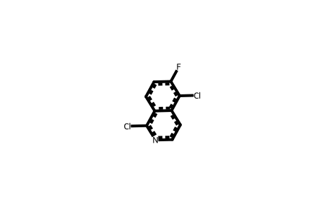 Fc1ccc2c(Cl)nccc2c1Cl